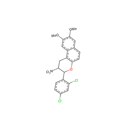 COc1cc2ccc3c(c2cc1OC)CC([N+](=O)[O-])C(c1ccc(Cl)cc1Cl)O3